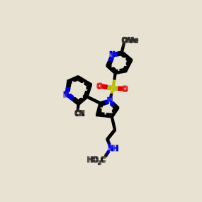 COc1ccc(S(=O)(=O)n2cc(CCNC(=O)O)cc2-c2cccnc2C#N)cn1